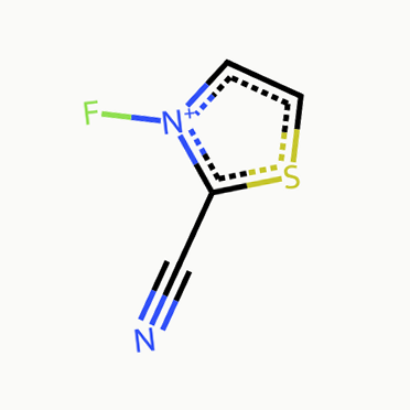 N#Cc1scc[n+]1F